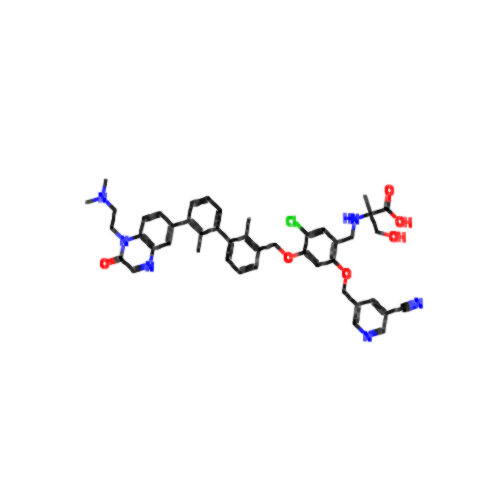 Cc1c(COc2cc(OCc3cncc(C#N)c3)c(CNC(C)(CO)C(=O)O)cc2Cl)cccc1-c1cccc(-c2ccc3c(c2)ncc(=O)n3CCN(C)C)c1C